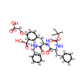 CC(C)(C)OC(=O)NC(Cc1ccccc1)C(=O)NC(Cc1ccc(OCC(=O)O)c(C(=O)O)c1)C(=O)NCc1ccccc1